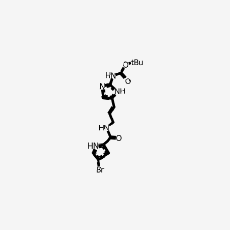 CC(C)(C)OC(=O)Nc1ncc(/C=C/CNC(=O)c2cc(Br)c[nH]2)[nH]1